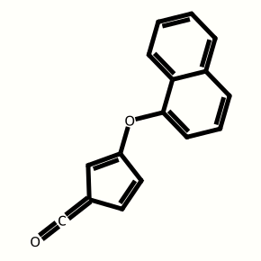 O=C=C1C=CC(Oc2cccc3ccccc23)=C1